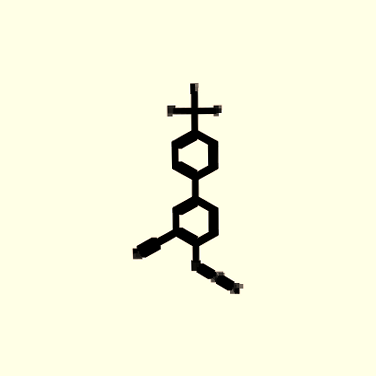 N#Cc1cc(-c2ccc(C(F)(F)F)cc2)ccc1N=[N+]=[N-]